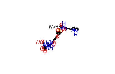 COC(=O)C(NCS(=O)(=O)c1c(C)cc(OCCCC(=O)NCCNc2c(NCCO)c(=O)c2=O)cc1C)NC(=O)CCCCc1ccc2c(n1)NCCC2